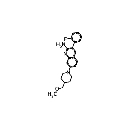 COCC1CCN(c2ccc3cc(-c4ccccc4F)c(N)nc3c2)CC1